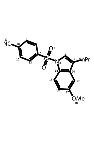 CCCc1cn(S(=O)(=O)c2ccc(C#N)cc2)c2ccc(OC)cc12